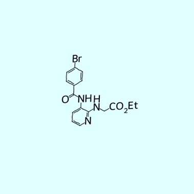 CCOC(=O)CNc1ncccc1NC(=O)c1ccc(Br)cc1